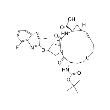 Cc1nc2cccc(F)c2nc1O[C@@H]1C[C@H]2C(=O)N[C@]3(C(=O)O)C[C@H]3/C=C\CCCCC[C@H](NC(=O)OC(C)(C)C)C(=O)N2C1